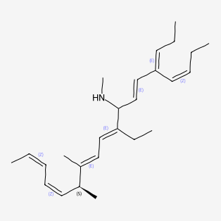 C/C=C\C=C/[C@H](C)/C(C)=C/C=C(\CC)C(/C=C/C(/C=C\CC)=C/CC)NC